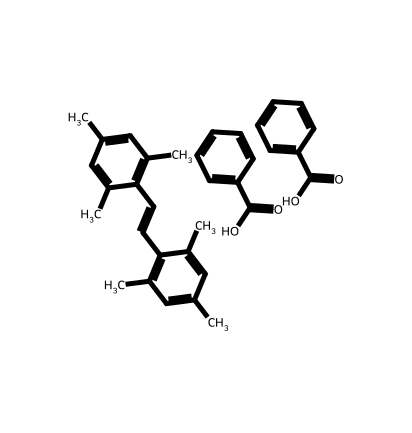 Cc1cc(C)c(C=Cc2c(C)cc(C)cc2C)c(C)c1.O=C(O)c1ccccc1.O=C(O)c1ccccc1